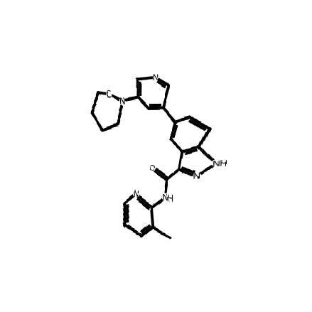 Cc1cccnc1NC(=O)c1n[nH]c2ccc(-c3cncc(N4CCCCC4)c3)cc12